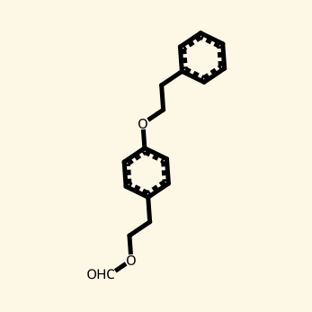 O=COCCc1ccc(OCCc2ccccc2)cc1